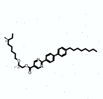 CCCCCCCCc1ccc(-c2ccc(-c3ncc(C(=O)OC[C@H](C)OCCCCC[C@@H](C)CC)cn3)cc2)cc1